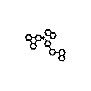 c1cc(-c2ccc(N(c3ccc4c5ccccc5c5ccccc5c4c3)c3cccc4ccccc34)cc2)cc(-c2cccc3ccccc23)c1